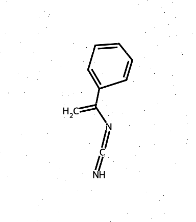 C=C(N=C=N)c1ccccc1